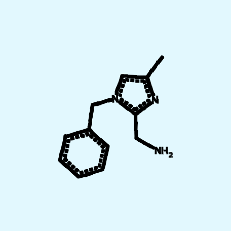 Cc1cn(Cc2ccccc2)c(CN)n1